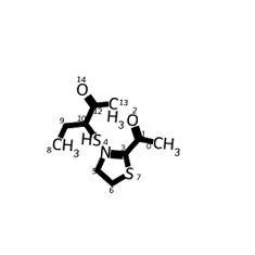 CC(=O)C1=NCCS1.CCC(S)C(C)=O